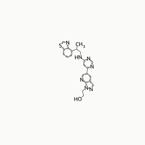 CC(CNc1cc(-c2cnc3c(cnn3CCO)c2)ncn1)c1cccc2scnc12